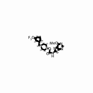 COc1ncnc2sc(NC(=O)ON3CCN(Cc4cccc(C(F)(F)F)c4)CC3)nc12